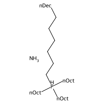 CCCCCCCCCCCCCCCC[PH](CCCCCCCC)(CCCCCCCC)CCCCCCCC.N